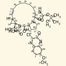 COc1ccc2nc(Cl)c(O[C@@H]3C[C@H]4C(=O)N(C(=O)O)[C@]5(C(=O)O)C[C@H]5/C=C\CCCCC[C@H](NC(=O)OC(C)(C)C)C(=O)N4C3)nc2c1